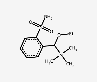 CCOC(c1ccccc1S(N)(=O)=O)[Si](C)(C)C